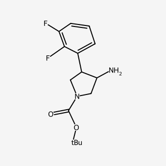 CC(C)(C)OC(=O)N1CC(N)C(c2cccc(F)c2F)C1